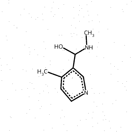 CNC(O)c1cnccc1C